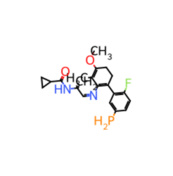 C=C(/C=N\C1=C(c2cc(P)ccc2F)CCC(OC)=C1C)NC(=O)C1CC1